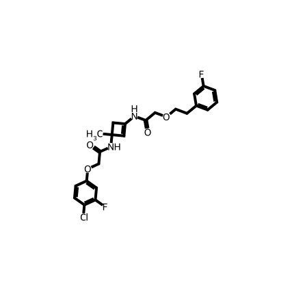 CC1(NC(=O)COc2ccc(Cl)c(F)c2)C=C(NC(=O)COCCc2cccc(F)c2)C1